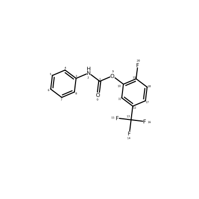 O=C(Nc1ccccc1)Oc1cc(C(F)(F)F)ccc1F